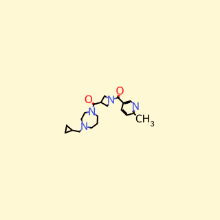 Cc1ccc(C(=O)N2CC(C(=O)N3CCCN(CC4CC4)CC3)C2)cn1